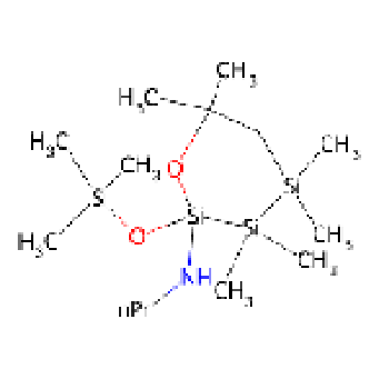 CCCN[Si]1(O[Si](C)(C)C)OC(C)(C)C[Si](C)(C)[Si]1(C)C